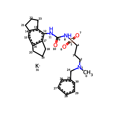 CN(CCCS(=O)(=O)NC(=O)Nc1c2c(cc3c1CCC3)CCC2)Cc1ccccc1.[K]